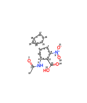 CC(=O)Nc1cccc([N+](=O)[O-])c1C(=O)O.c1cc2cc-2c1